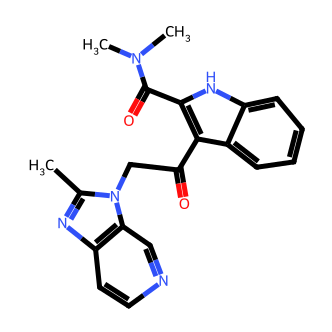 Cc1nc2ccncc2n1CC(=O)c1c(C(=O)N(C)C)[nH]c2ccccc12